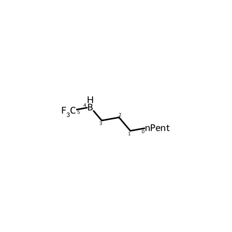 CCCCCCCCBC(F)(F)F